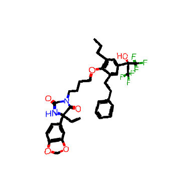 CCCc1cc(C(O)(C(F)(F)F)C(F)(F)F)cc(CCc2ccccc2)c1OCCCCN1C(=O)NC(CC)(c2ccc3c(c2)OCO3)C1=O